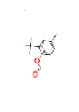 CC1=CC2CCC1C(C(C)(C)C)C2OC=O